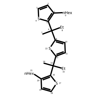 CCCCCCc1ccsc1C(C)(CC)c1ccc(C(C)(CC)c2sccc2CCCCCC)s1